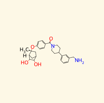 C[C@@]1(Oc2ccc(C(=O)N3CCC(c4cccc(CN)c4)CC3)cc2)CC2C[C@H]1C(O)C2O